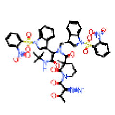 CC(=O)C(=[N+]=[N-])C(=O)N1CCCC(C)(C(=O)N(Cc2cn(S(=O)(=O)c3ccccc3[N+](=O)[O-])c3ccccc23)C(C(=O)NC(C)(C)C)c2cn(S(=O)(=O)c3ccccc3[N+](=O)[O-])c3ccccc23)C1=O